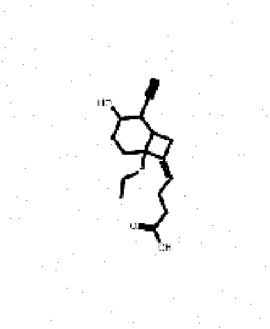 C#CC1C(O)CCC2(OCC)C(=CCCC(=O)O)CC12